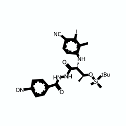 Cc1c(N[C@@H](C(=O)NNC(=O)c2ccc(N=O)cc2)[C@H](C)O[Si](C)(C)C(C)(C)C)ccc(C#N)c1I